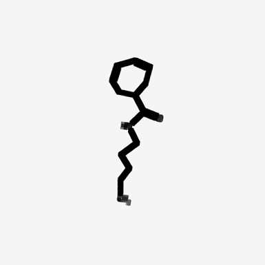 CCCCCNC(=O)C1CC=CC=CC1